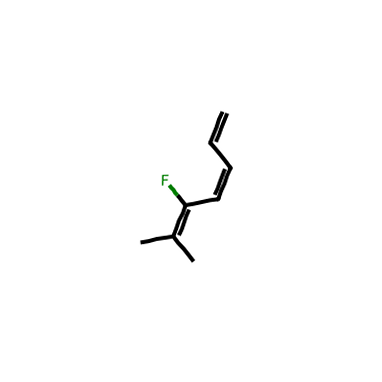 C=C/C=C\C(F)=C(C)C